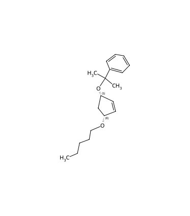 CCCCCO[C@H]1C=C[C@@H](OC(C)(C)c2ccccc2)C1